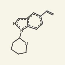 C=Cc1ccc2c(cnn2C2CCCCO2)c1